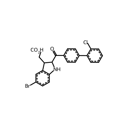 O=C(O)CC1c2cc(Br)ccc2NC1C(=O)c1ccc(-c2ccccc2Cl)cc1